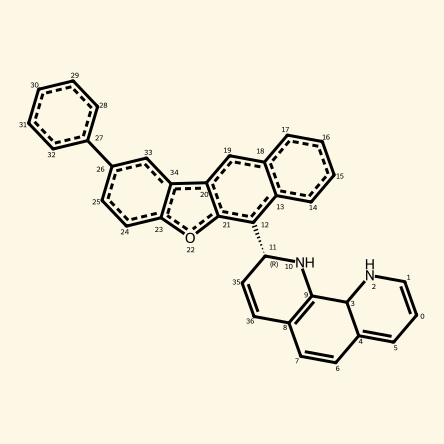 C1=CNC2C(=C1)C=CC1=C2N[C@@H](c2c3ccccc3cc3c2oc2ccc(-c4ccccc4)cc23)C=C1